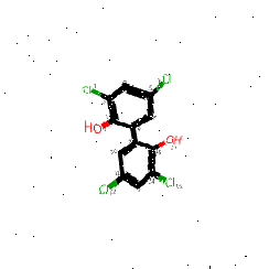 Oc1c(Cl)cc(Cl)cc1-c1cc(Cl)cc(Cl)c1O